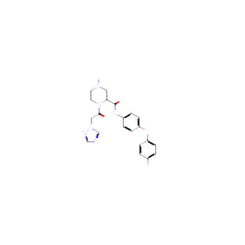 O=C(Nc1ccc(Oc2ccc(F)cc2)cc1)C1CN(C(=O)O)CCN1C(=O)Cn1cncn1